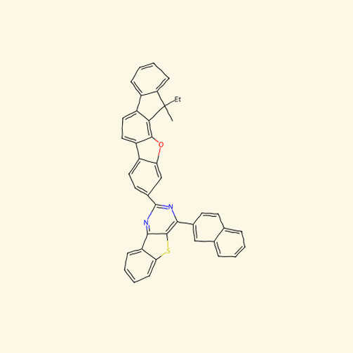 CCC1(C)c2ccccc2-c2ccc3c(oc4cc(-c5nc(-c6ccc7ccccc7c6)c6sc7ccccc7c6n5)ccc43)c21